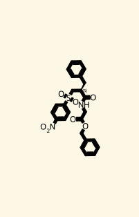 O=C(CNC(=O)[C@H](Cc1ccccc1)CS(=O)(=O)c1ccc([N+](=O)[O-])cc1)OCc1ccccc1